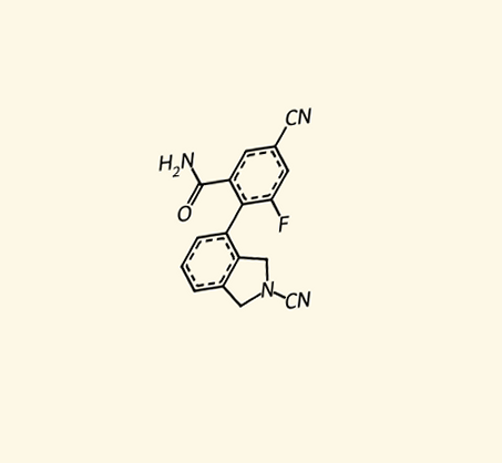 N#Cc1cc(F)c(-c2cccc3c2CN(C#N)C3)c(C(N)=O)c1